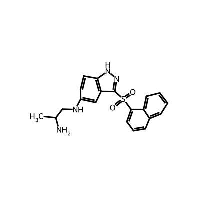 CC(N)CNc1ccc2[nH]nc(S(=O)(=O)c3cccc4ccccc34)c2c1